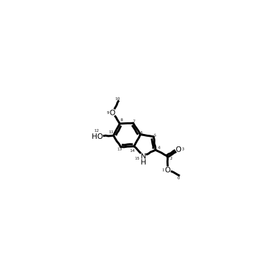 COC(=O)c1cc2cc(OC)c(O)cc2[nH]1